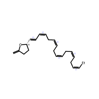 C=C1CC[C@@H](/C=C/C=C\C/C=C\C/C=C\C/C=C\C/C=C\CC)O1